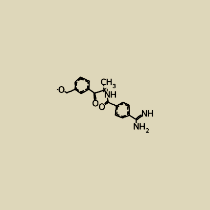 C[C@H](NC(=O)c1ccc(C(=N)N)cc1)C(=O)c1cccc(C[O])c1